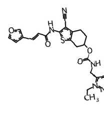 CCn1nccc1CNC(=O)OC1CCc2c(sc(NC(=O)C=Cc3ccoc3)c2C#N)C1